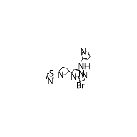 Brc1cnn2c(NCc3cccnc3)cc(C3CCCN(Cc4nccs4)C3)nc12